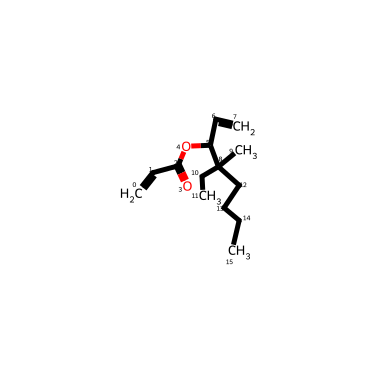 C=CC(=O)OC(C=C)C(C)(CC)CCCC